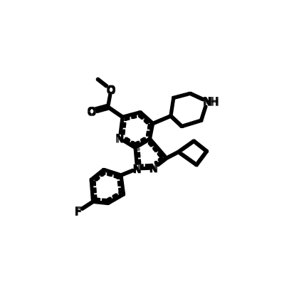 COC(=O)c1cc(C2CCNCC2)c2c(C3CCC3)nn(-c3ccc(F)cc3)c2n1